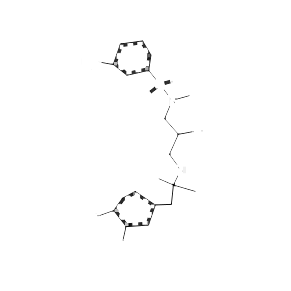 Bc1cccc(S(=O)(=O)N(C)CC(O)CNC(C)(C)Cc2ccc(Cl)c(F)c2)c1